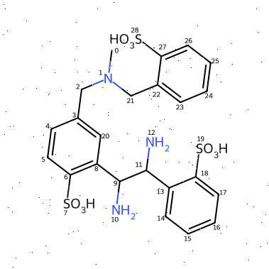 CN(Cc1ccc(S(=O)(=O)O)c(C(N)C(N)c2ccccc2S(=O)(=O)O)c1)Cc1ccccc1S(=O)(=O)O